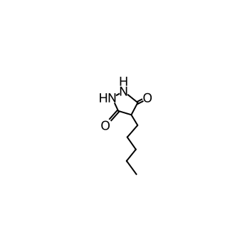 CCCCCC1C(=O)NNC1=O